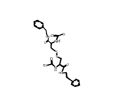 CCC(=O)NC(CSSCC(NC(=O)CC)C(=O)NCCc1ccccc1)C(=O)NCCc1ccccc1